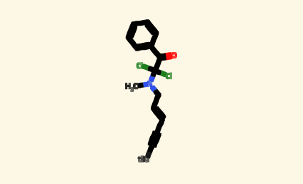 CN(CC=CC#CC(C)(C)C)C(Cl)(Cl)C(=O)c1ccccc1